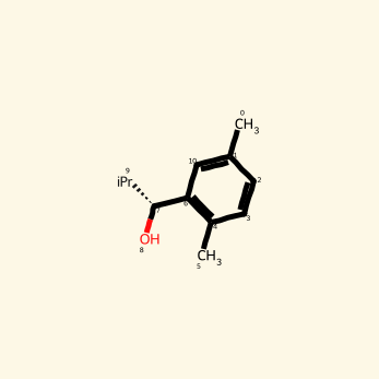 Cc1ccc(C)c([C@H](O)C(C)C)c1